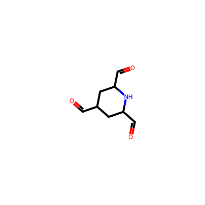 O=CC1CC(C=O)NC(C=O)C1